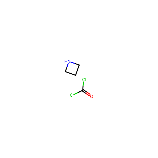 C1CNC1.O=C(Cl)Cl